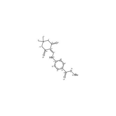 CC1(C)CC(=O)C(=CNc2ccc(C(=O)OC(C)(C)C)cc2)C(=O)C1